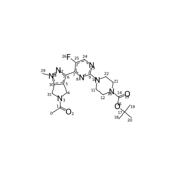 CC(=O)N1Cc2c(-c3nc(N4CCN(C(=O)OC(C)(C)C)CC4)ncc3F)nn(C)c2C1